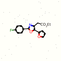 CCOC(=O)Cc1nc(-c2ccc(F)cc2)oc1-c1ccco1